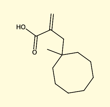 C=C(CC1(C)CCCCCCC1)C(=O)O